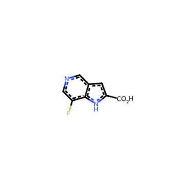 O=C(O)c1cc2cncc(F)c2[nH]1